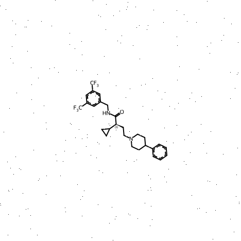 O=C(NCc1cc(C(F)(F)F)cc(C(F)(F)F)c1)[C@@H](CCN1CCC(c2ccccc2)CC1)C1CC1